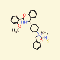 COc1ccccc1C(=O)NC(c1ccccc1)[C@H]1CC[C@H]([N+](C)(Cc2ccccc2)C(=O)N=S)CC1